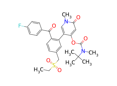 CCS(=O)(=O)Cc1ccc(C(=O)c2ccc(F)cc2)c(-c2cn(C)c(=O)cc2OC(=O)N(C)C(C)(C)C)c1